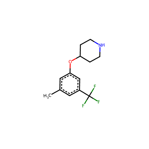 Cc1cc(OC2CCNCC2)cc(C(F)(F)F)c1